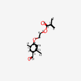 C=C(C)C(=O)OCCOc1cc(C)c(C=O)cc1C